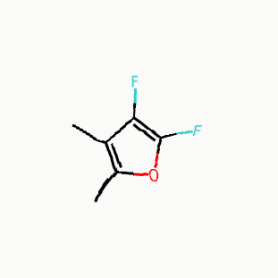 Cc1oc(F)c(F)c1C